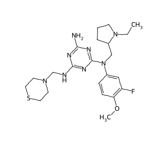 CCN1CCCC1CN(c1ccc(OC)c(F)c1)c1nc(N)nc(NCN2CCSCC2)n1